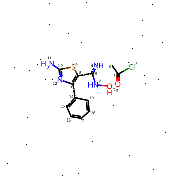 CC(=O)Cl.N=C(NO)c1sc(N)nc1-c1ccccc1